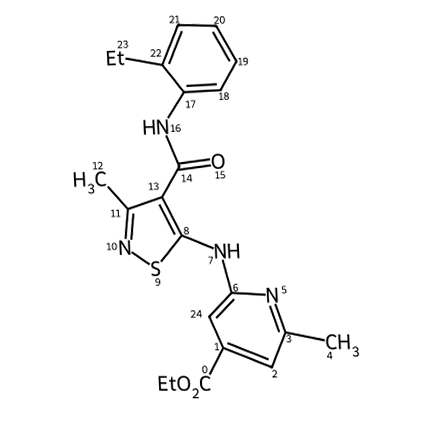 CCOC(=O)c1cc(C)nc(Nc2snc(C)c2C(=O)Nc2ccccc2CC)c1